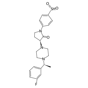 C[C@@H](c1cccc(F)c1)N1CCN([C@H]2CCN(c3ccc([SH](=O)=O)cc3)C2=O)CC1